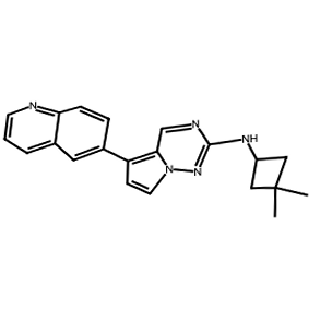 CC1(C)CC(Nc2ncc3c(-c4ccc5ncccc5c4)ccn3n2)C1